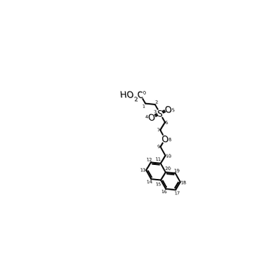 O=C(O)CCS(=O)(=O)CCOCCc1cccc2ccccc12